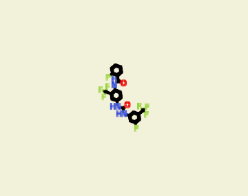 O=C(Nc1cc(F)cc(C(F)(F)F)c1)Nc1ccc(NC(=O)c2ccccc2F)c(C(F)(F)F)c1